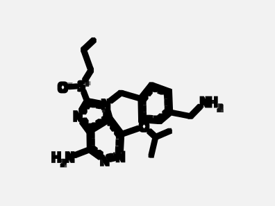 CCC[S+]([O-])c1nc2c(N)nnc(OC(C)C)c2n1Cc1ccc(CN)cc1